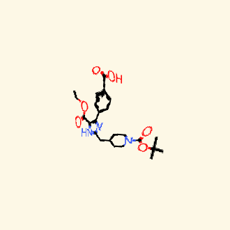 CCOC(=O)c1[nH]c(CC2CCN(C(=O)OC(C)(C)C)CC2)nc1-c1ccc(C(=O)O)cc1